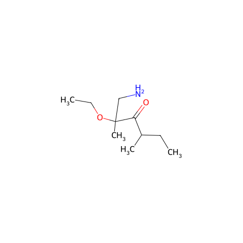 CCOC(C)(CN)C(=O)C(C)CC